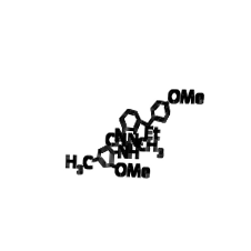 CCC(c1ccc(OC)cc1)c1cccc2nc(Nc3c(C)cc(C)cc3OC)n(C)c12